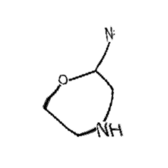 [N]C1CNCCO1